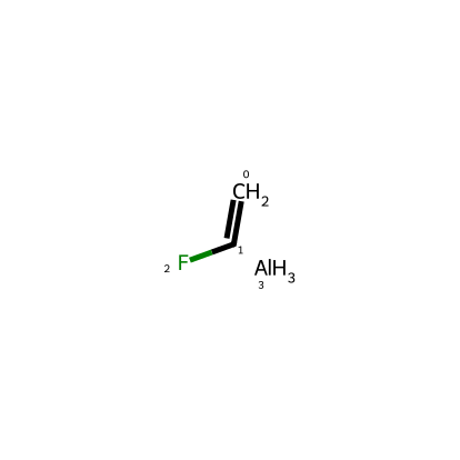 C=CF.[AlH3]